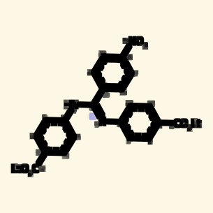 CCOC(=O)c1ccc(/N=C(/Nc2ccc(C(=O)OCC)cc2)c2ccc([N+](=O)[O-])cc2)cc1